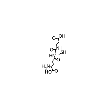 N[C@@H](CCC(=O)N[C@H](CS)C(=O)NCCC(=O)O)C(=O)O